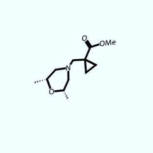 COC(=O)C1(CN2C[C@@H](C)O[C@@H](C)C2)CC1